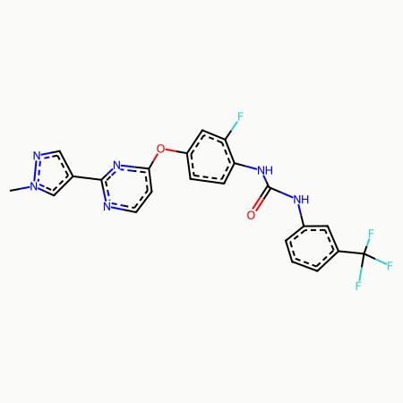 Cn1cc(-c2nccc(Oc3ccc(NC(=O)Nc4cccc(C(F)(F)F)c4)c(F)c3)n2)cn1